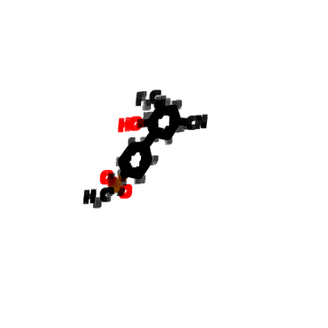 CS(=O)(=O)c1ccc(-c2cc(C#N)cc(C(F)(F)F)c2O)cc1